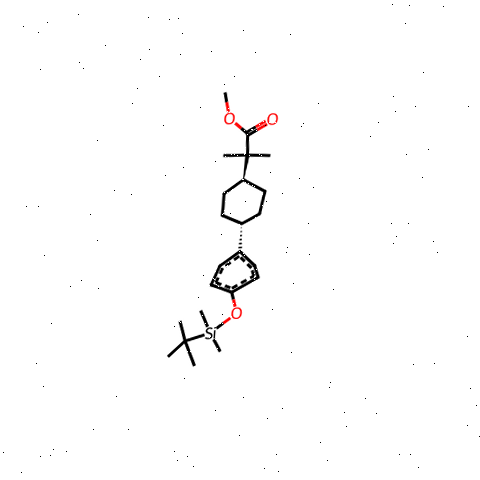 COC(=O)C(C)(C)[C@H]1CC[C@H](c2ccc(O[Si](C)(C)C(C)(C)C)cc2)CC1